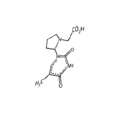 Cc1cn(C2CCCN2CC(=O)O)c(=O)[nH]c1=O